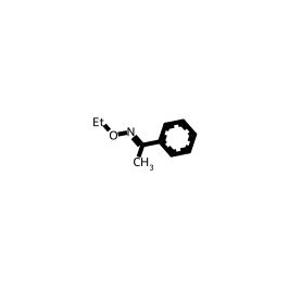 CCO/N=C(\C)c1ccccc1